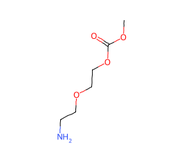 COC(=O)OCCOCCN